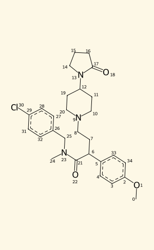 COc1ccc(C(CCN2CCC(N3CCCC3=O)CC2)C(=O)N(C)Cc2ccc(Cl)cc2)cc1